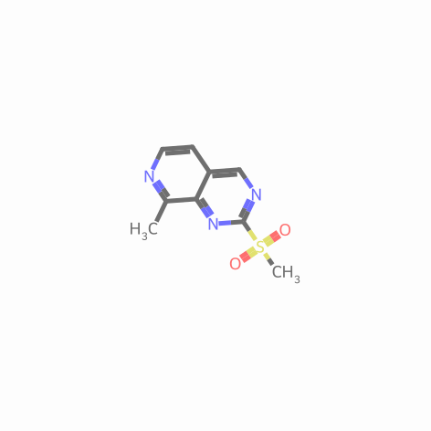 Cc1nccc2cnc(S(C)(=O)=O)nc12